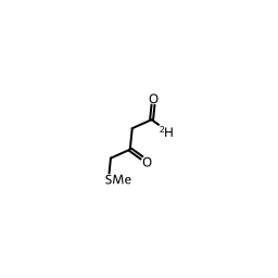 [2H]C(=O)CC(=O)CSC